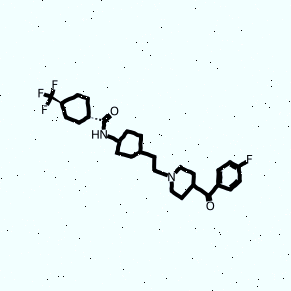 O=C(c1ccc(F)cc1)C1CCN(CCC2CCC(NC(=O)[C@H]3CC[C@H](C(F)(F)F)CC3)CC2)CC1